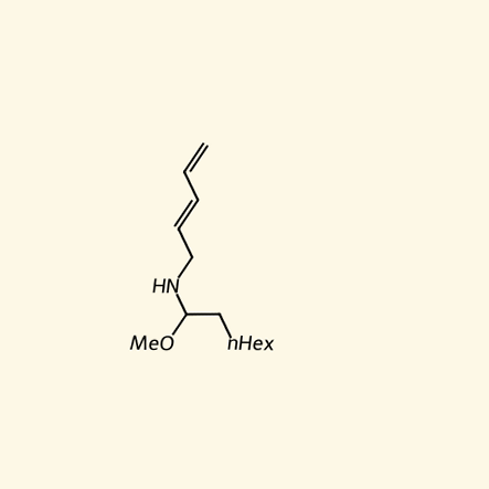 C=C/C=C/CNC(CCCCCCC)OC